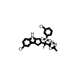 Cc1nnc(C(F)(C2Cc3[nH]c4ccc(Cl)cc4c3C2)S(=O)(=O)c2cccc(Cl)c2)o1